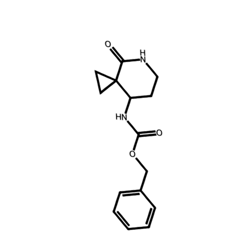 O=C(NC1CCNC(=O)C12CC2)OCc1ccccc1